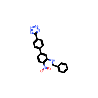 O=[N+]([O-])c1ccc(-c2ccc(-c3nn[nH]n3)cc2)cc1NCc1ccccc1